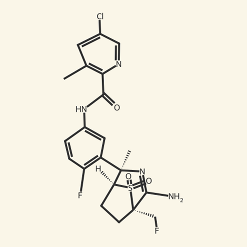 Cc1cc(Cl)cnc1C(=O)Nc1ccc(F)c([C@@]2(C)N=C(N)[C@@]3(CF)CC[C@@H]2S3(=O)=O)c1